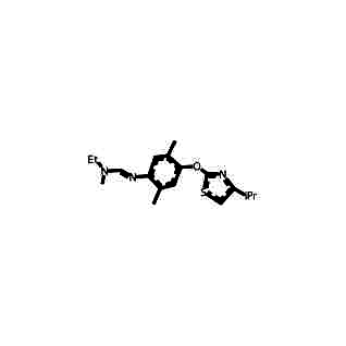 CCN(C)C=Nc1cc(C)c(Oc2nc(C(C)C)cs2)cc1C